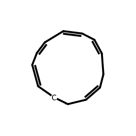 [CH]1C=CCC=CC=CC=CC=CC1